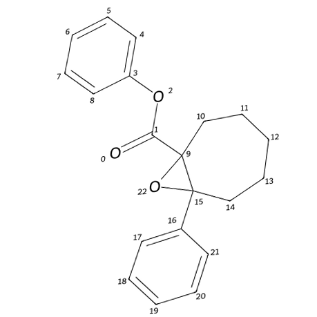 O=C(Oc1ccccc1)C12CCCCCC1(c1ccccc1)O2